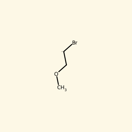 COC[CH]Br